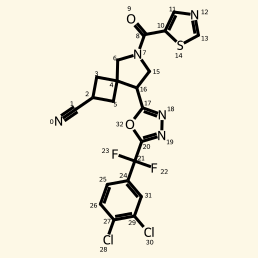 N#CC1CC2(C1)CN(C(=O)c1cncs1)CC2c1nnc(C(F)(F)c2ccc(Cl)c(Cl)c2)o1